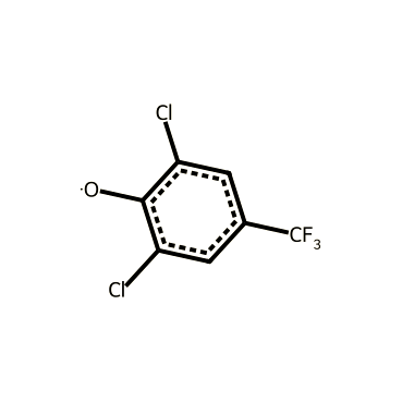 [O]c1c(Cl)cc(C(F)(F)F)cc1Cl